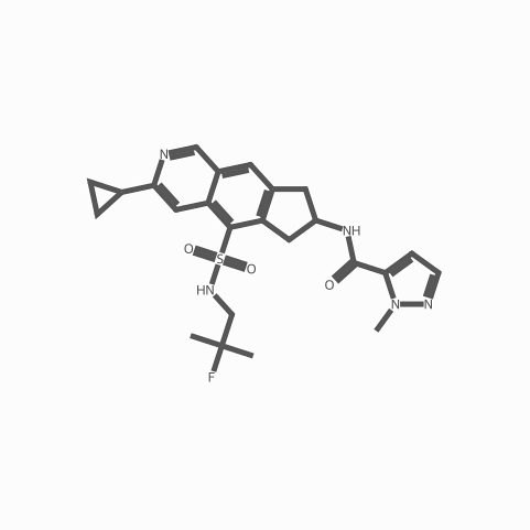 Cn1nccc1C(=O)NC1Cc2cc3cnc(C4CC4)cc3c(S(=O)(=O)NCC(C)(C)F)c2C1